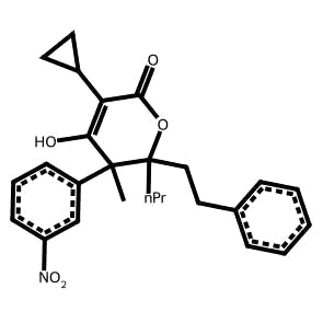 CCCC1(CCc2ccccc2)OC(=O)C(C2CC2)=C(O)C1(C)c1cccc([N+](=O)[O-])c1